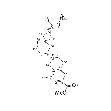 COC(=O)c1cc(F)c2c(c1)CCN([C@@H]1CCOC3(C1)CN(C(=O)OC(C)(C)C)C3)C2